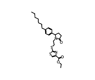 CCCCCCCc1ccc(C2CCC(=O)N2CCSc2nc(C(=O)OCC)cs2)cc1